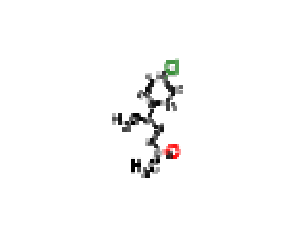 CC(=O)C=CC(C)c1ccc(Cl)cc1